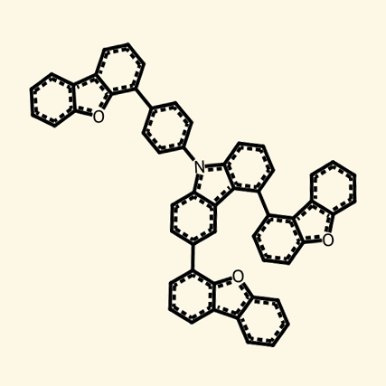 c1ccc2c(c1)oc1c(-c3ccc(-n4c5ccc(-c6cccc7c6oc6ccccc67)cc5c5c(-c6cccc7oc8ccccc8c67)cccc54)cc3)cccc12